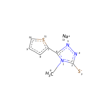 Cn1c([S-])nnc1-c1cccs1.[Na+]